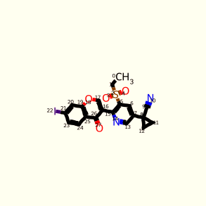 CCS(=O)(=O)c1cc(C2(C#N)CC2)cnc1-c1coc2cc(I)ccc2c1=O